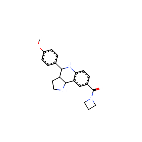 CCOc1ccc(C2Nc3ccc(C(=O)N4CCC4)cc3C3NCCC23)cc1